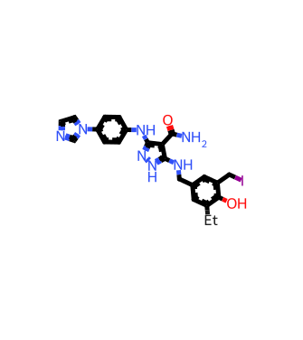 CCc1cc(CNc2[nH]nc(Nc3ccc(-n4ccnc4)cc3)c2C(N)=O)cc(CI)c1O